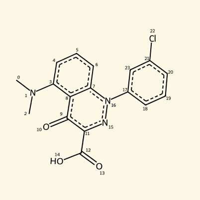 CN(C)c1cccc2c1c(=O)c(C(=O)O)nn2-c1cccc(Cl)c1